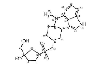 CCC1(CO)CCN(S(=O)(=O)C[C@H]2CC[C@H](N(C)c3ncnc4[nH]ccc34)CC2)C1